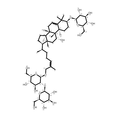 C/C(=C/CC[C@@H](C)[C@H]1CC[C@@]2(C)[C@@H]3CC=C4[C@@H](CC[C@H](O[C@@H]5O[C@H](CO)[C@@H](O)[C@H](O)[C@H]5O)C4(C)C)[C@]3(C)[C@H](O)C[C@]12C)CO[C@@H]1O[C@H](CO)[C@@H](O)[C@H](O)[C@H]1O[C@@H]1O[C@H](CO)[C@@H](O)[C@H](O)[C@H]1O